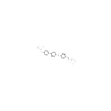 CCC(CC)(c1ccc(/C=C/C2(O)CCOCC2)c(C)c1)c1ccc(-c2ccc(CCOOC)cc2)c(C)c1